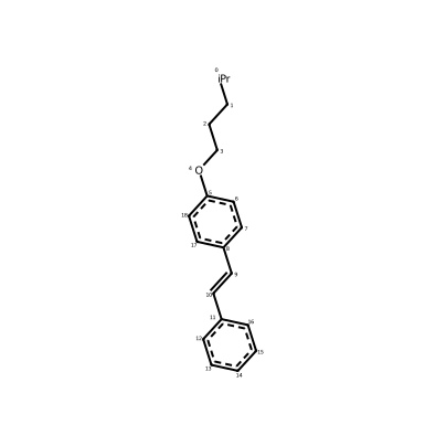 CC(C)CCCOc1ccc(C=Cc2ccccc2)cc1